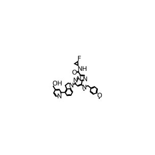 COc1ccc(CN(C)c2cc(N3CCc4c(-c5cc(CO)ccn5)cccc43)nn3c(C(=O)N[C@@H]4C[C@@H]4F)cnc23)cc1